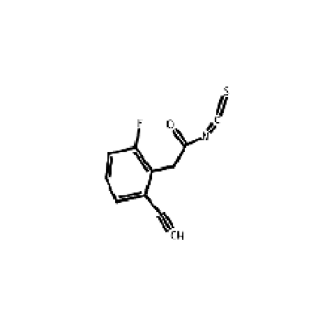 C#Cc1cccc(F)c1CC(=O)N=C=S